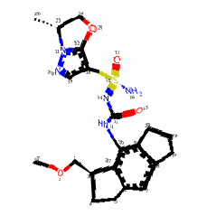 COC[C@@H]1CCc2cc3c(c(NC(=O)N=[S@](N)(=O)c4cnn5c4OC[C@H]5C)c21)CCC3